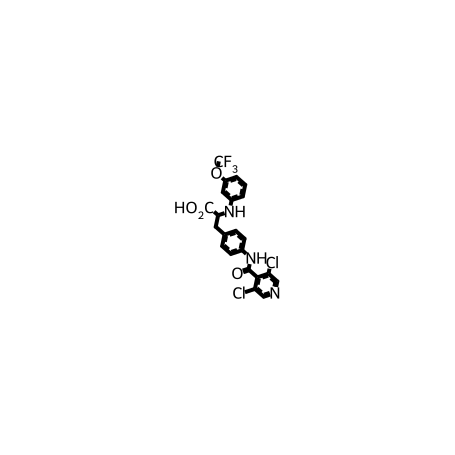 O=C(Nc1ccc(CC(Nc2cccc(OC(F)(F)F)c2)C(=O)O)cc1)c1c(Cl)cncc1Cl